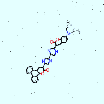 CCN(CC)c1ccc2cc(-c3cnc(-c4cnc(-c5cc6c7ccccc7c7ccccc7c6oc5=O)cn4)cn3)c(=O)oc2c1